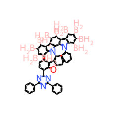 Bc1c(B)c(B)c2c(c1B)c1c(B)c(B)c3c4c(B)c(B)c(B)c(B)c4n(-c4cccc5oc6c(-c7nc(-c8ccccc8)nc(-c8ccccc8)n7)cccc6c45)c3c1n2-c1ccccc1